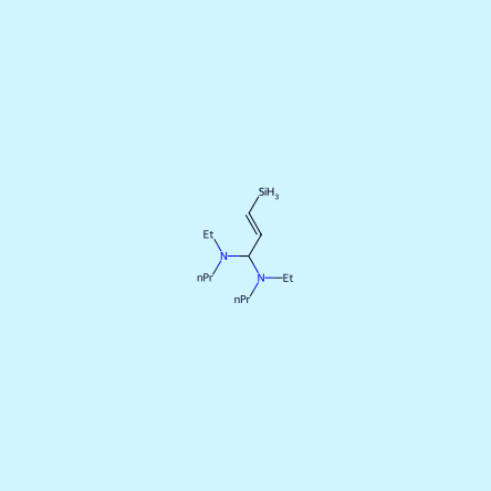 CCCN(CC)C(C=C[SiH3])N(CC)CCC